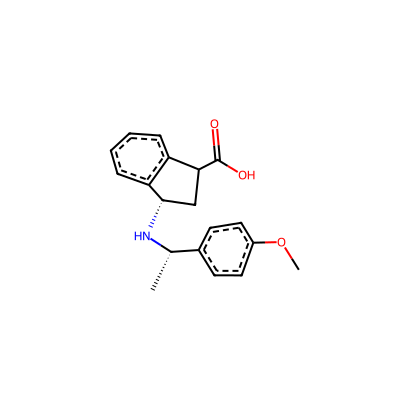 COc1ccc([C@H](C)N[C@H]2CC(C(=O)O)c3ccccc32)cc1